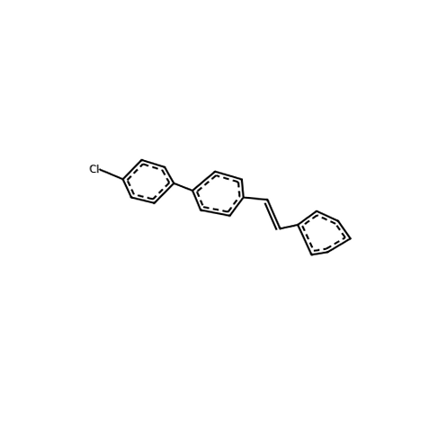 Clc1ccc(-c2ccc(/C=C/c3ccccc3)cc2)cc1